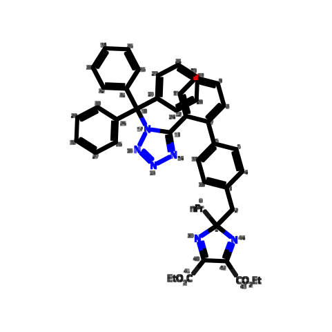 CCCC1(Cc2ccc(-c3ccccc3-c3nnnn3C(c3ccccc3)(c3ccccc3)c3ccccc3)cc2)N=C(C(=O)OCC)C(C(=O)OCC)=N1